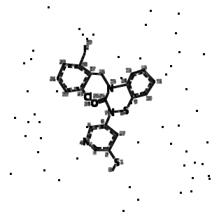 CSc1cncc(N2Sc3ccccc3N(Cc3c(F)cccc3Cl)C2=O)c1